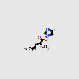 C=CCC(=C)C(=O)On1ccnc1